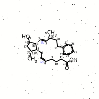 C[C@H](/C=C/[C@@H]1[C@@H](C/C=C\CCCC(=O)O)[C@@H](C)C[C@H]1O)CCc1ccccc1